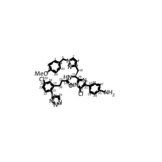 COc1ccc(Cn2ccc(C[C@H](NC(=O)CCc3cc(Cl)ccc3-n3cnnn3)c3nc(-c4ccc(N)cc4)c(Cl)[nH]3)n2)cc1